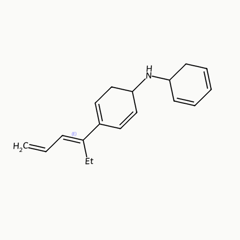 C=C/C=C(\CC)C1=CCC(NC2C=CC=CC2)C=C1